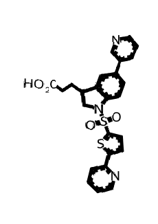 O=C(O)CCC1CN(S(=O)(=O)c2ccc(-c3ccccn3)s2)c2ccc(-c3cccnc3)cc21